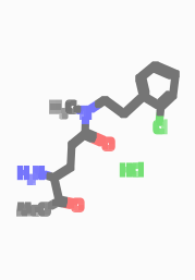 COC(=O)C(N)CCC(=O)N(C)CCc1ccccc1Cl.Cl